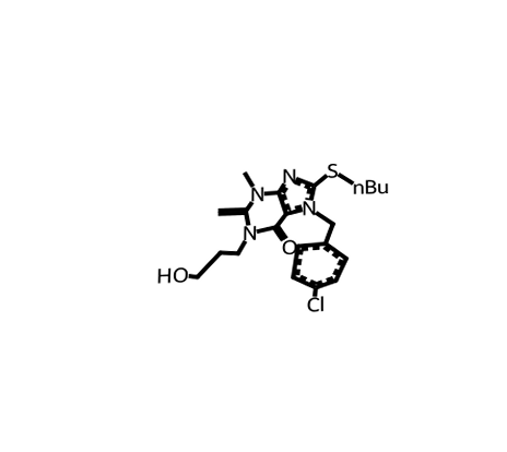 C=C1N(CCCO)C(=O)c2c(nc(SCCCC)n2Cc2ccc(Cl)cc2)N1C